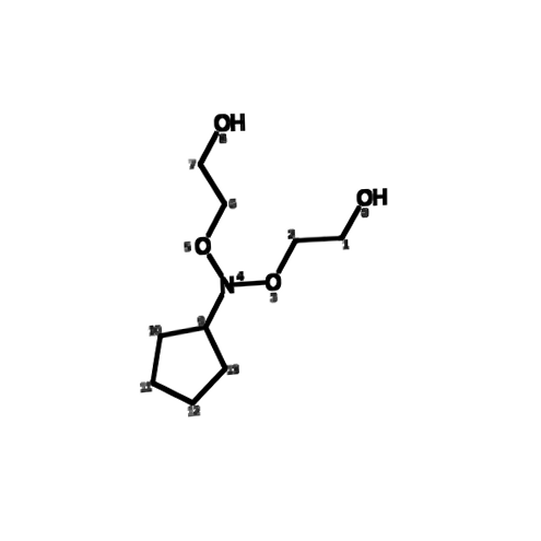 OCCON(OCCO)C1CCCC1